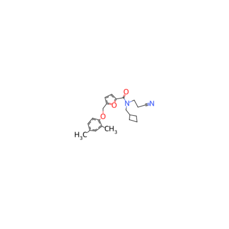 Cc1ccc(OCc2ccc(C(=O)N(CCC#N)CC3CCC3)o2)c(C)c1